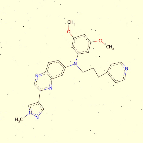 COc1cc(OC)cc(N(CCCc2ccncc2)c2ccc3ncc(-c4cnn(C)c4)nc3c2)c1